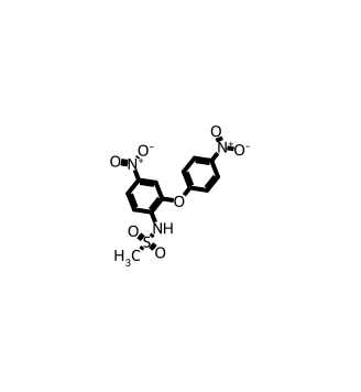 CS(=O)(=O)Nc1ccc([N+](=O)[O-])cc1Oc1ccc([N+](=O)[O-])cc1